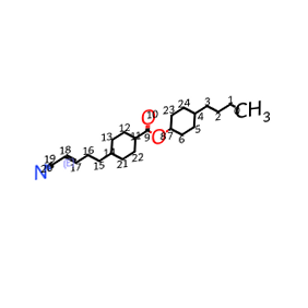 CCCCC1CCC(OC(=O)C2CCC(CC/C=C/C#N)CC2)CC1